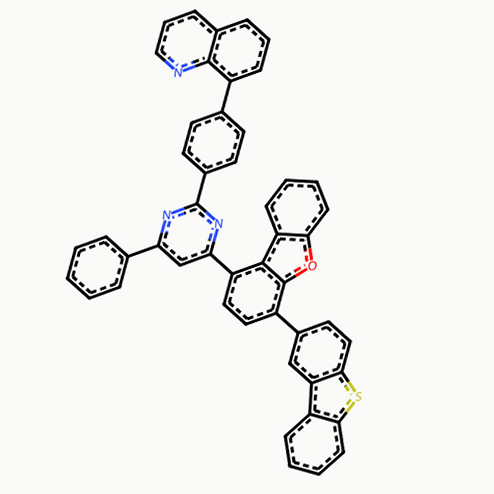 c1ccc(-c2cc(-c3ccc(-c4ccc5sc6ccccc6c5c4)c4oc5ccccc5c34)nc(-c3ccc(-c4cccc5cccnc45)cc3)n2)cc1